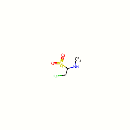 O=[SH](=O)C(CCl)NC(F)(F)F